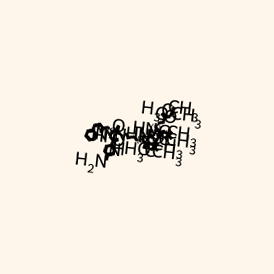 CC(C)(C)OC(=O)CC[C@H](NC(=O)N[C@@H](CCCCNC(=O)[C@H](Cc1ccc2ccccc2n1)NC(=O)c1ccc(CN)cn1)C(=O)OC(C)(C)C)C(=O)OC(C)(C)C